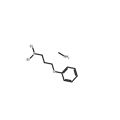 CCN(CC)CCCOc1ccccc1.CN